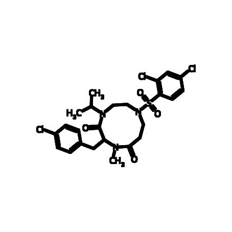 CC(C)N1CCN(S(=O)(=O)c2ccc(Cl)cc2Cl)CCC(=O)N(C)C(Cc2ccc(Cl)cc2)C1=O